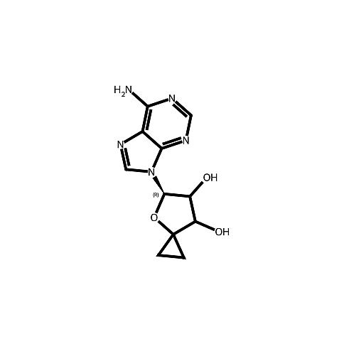 Nc1ncnc2c1ncn2[C@@H]1OC2(CC2)C(O)C1O